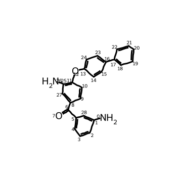 Nc1cccc(C(=O)c2ccc(Oc3ccc(-c4ccccc4)cc3)c(N)c2)c1